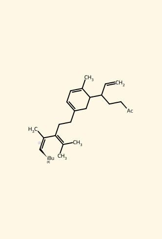 C=CC(CCC(C)=O)C1CC(CCC(=C(C)C)/C(C)=C\[C@H](C)CC)=CC=C1C